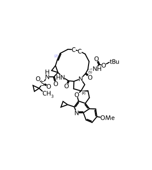 COc1ccc2nc(C3CC3)c3c(c2c1)CC[C@]1(CC2C(=O)NC4(C(=O)NS(=O)(=O)C5(C)CC5)CC4/C=C\CCCCC[C@H](NC(=O)OC(C)(C)C)C(=O)N2C1)O3